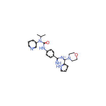 CC(C)N(C(=O)Nc1ccc(C(=N)/N=C(\c2ccc[nH]2)N2CCOCC2)cc1)c1cccnc1